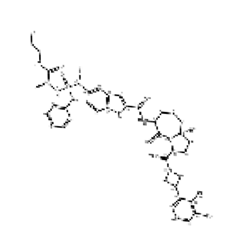 CCCOC(=O)[C@H](C)NP(=O)(Oc1ccccc1)[C@@H](F)c1ccc2sc(C(=O)N[C@H]3CCC[C@H]4CC[C@@H](C(=O)N5CC(c6cncc(F)c6O)C5)N4C3=O)cc2c1